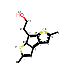 CC1=CC2=c3cc(C)sc3=C(CCO)C2S1